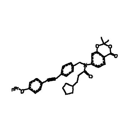 CCCOc1ccc(C#Cc2ccc(CN(C(=O)CCC3CCCC3)c3ccc4c(c3)OC(C)(C)OC4=O)cc2)cc1